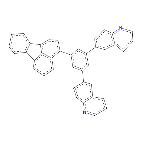 c1ccc2c(c1)-c1cccc3c(-c4cc(-c5ccc6ncccc6c5)cc(-c5ccc6ncccc6c5)c4)ccc-2c13